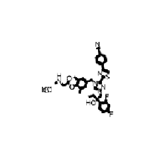 CCC(O)(Cn1c[n+](Cc2cc(C)c(OC(=O)CNC)c(C)c2)c(-c2nc(-c3ccc(C#N)cc3)cs2)n1)c1ccc(F)cc1F.Cl.[Cl-]